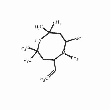 C=CC1CC(C)(C)NC(C)(C)CC(C(C)C)N1P